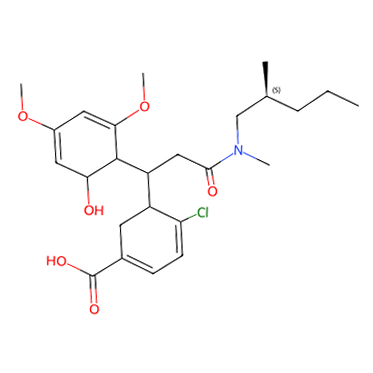 CCC[C@H](C)CN(C)C(=O)CC(C1CC(C(=O)O)=CC=C1Cl)C1C(OC)=CC(OC)=CC1O